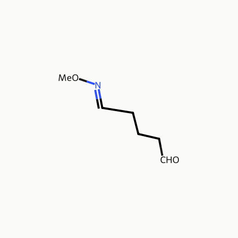 CO/N=C/CCCC=O